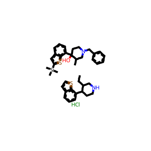 CC1CN(Cc2ccccc2)CCC1(O)c1cccc2cc([Si](C)(C)C)sc12.CCC1CNCCC1c1cccc2ccsc12.Cl